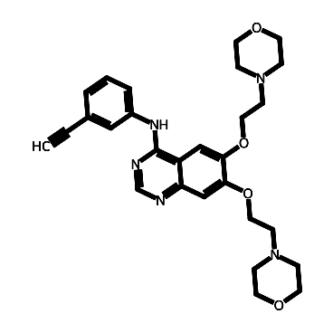 C#Cc1cccc(Nc2ncnc3cc(OCCN4CCOCC4)c(OCCN4CCOCC4)cc23)c1